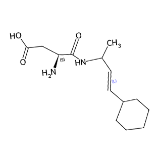 CC(/C=C/C1CCCCC1)NC(=O)[C@@H](N)CC(=O)O